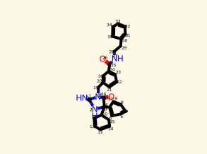 N=C1NC(c2ccccc2)(C2C=CC=CC2)C(=O)N1Cc1cccc(C(=O)NCCc2ccccc2)c1